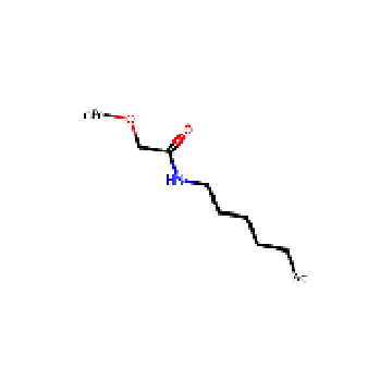 CCCOCC(=O)NCCCCCC(C)=O